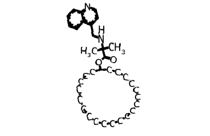 CC(C)(NCc1ccnc2ccccc12)C(=O)OC1CCCCCCCCCCCCCCCCCCCC1